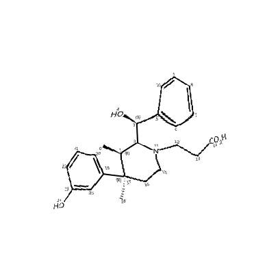 C[C@H]1C([C@@H](O)c2ccccc2)N(CCC(=O)O)CC[C@@]1(C)c1cccc(O)c1